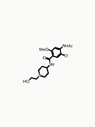 COc1cc(NC(C)=O)c(Cl)cc1C(=O)NC1CCN(CCO)CC1